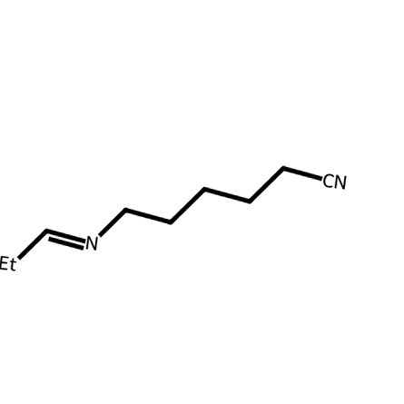 CCC=NCCCCCC#N